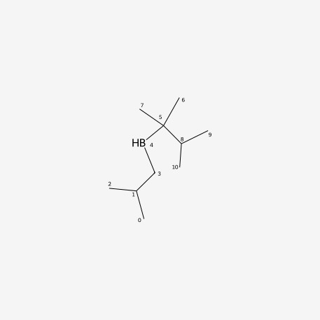 CC(C)CBC(C)(C)C(C)C